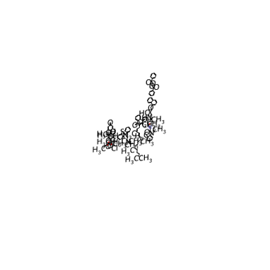 C/C=C/C(=O)N(CC)c1ccccc1C.CC(=CCC1=C(C)C(=O)c2ccccc2C1=O)CCCC(C)CCCC(C)CCCC(C)C.CC(C)NCC(O)COc1cccc2ccccc12.CC(CN1c2ccccc2Sc2ccccc21)N(C)C.CCC(=O)O[C@]1(C(=O)CCl)[C@@H](C)C[C@H]2[C@@H]3CCC4=CC(=O)C=C[C@]4(C)[C@@]3(F)[C@@H](O)C[C@@]21C.O=C(OOC(=O)c1ccccc1)c1ccccc1